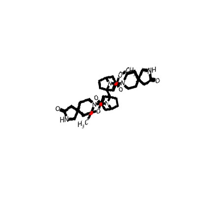 CCOC(=O)N1C2CCC1(C13C=C(N4CCC5(CC4)CNC(=O)C5)CC(CC1)N3C(=O)OC)C=C(N1CCC3(CC1)CNC(=O)C3)C2